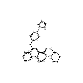 O=c1c2cc(Cc3ccc(-n4cccn4)nc3)c3ncccc3c2ncn1[C@H]1CCCC[C@@H]1O